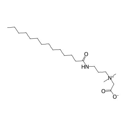 CCCCCCCCCCCCCC(=O)NCCC[N+](C)(C)CC(=O)[O-]